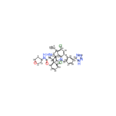 CC(C)(C)C[C@@H]1N[C@@H](C(=O)NC2CCOCC2)[C@H](c2ccccc2Cl)[C@]12CN(Cc1ccc(-c3nnn[nH]3)cc1)c1ccc(Cl)cc12